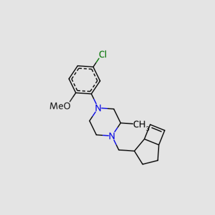 COc1ccc(Cl)cc1N1CCN(CC2CCC3C=CC32)C(C)C1